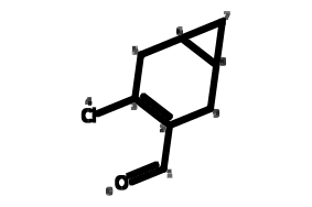 O=CC1=C(Cl)CC2CC2C1